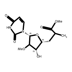 COC(=O)C(C)C[C@H]1O[C@@H](n2ccc(=O)[nH]c2=O)C(OC)[C@H]1O